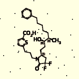 C[C@H](CCCCCc1ccccc1)[C@H](O)CC[C@H]1CC(F)(F)C(=O)N1CCCc1ccc(C(=O)O)s1